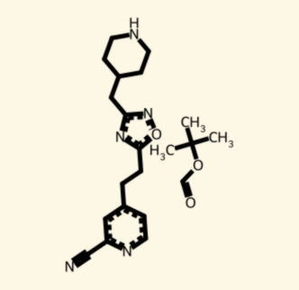 CC(C)(C)OC=O.N#Cc1cc(CCc2nc(CC3CCNCC3)no2)ccn1